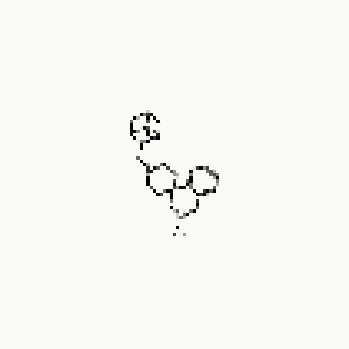 CC(=O)N1Cc2ccccc2C2(CCN(CC3=CCC4CC3C4(C)C)CC2)C1